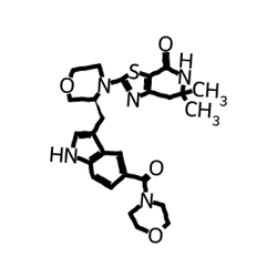 CC1(C)Cc2nc(N3CCOC[C@@H]3Cc3c[nH]c4ccc(C(=O)N5CCOCC5)cc34)sc2C(=O)N1